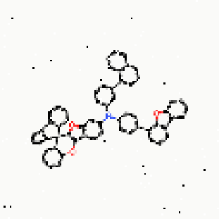 c1cc(-c2cccc3ccccc23)cc(N(c2ccc(-c3cccc4c3oc3ccccc34)cc2)c2ccc3c4c(oc3c2)C2(c3ccccc3O4)c3ccccc3-c3ccccc32)c1